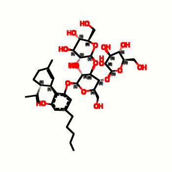 C=C(C)[C@@H]1CCC(C)=C[C@H]1c1c(O)cc(CCCCC)cc1O[C@@H]1O[C@H](CO)[C@@H](O[C@@H]2O[C@H](CO)[C@@H](O)[C@H](O)[C@H]2O)[C@H](O[C@@H]2O[C@H](CO)[C@@H](O)[C@H](O)[C@H]2O)[C@H]1O